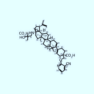 C=C(C)[C@@H]1CC[C@]2(NCC(C)(O)C(=O)O)CC[C@]3(C)[C@H](CC[C@@H]4[C@@]5(C)CC=C(C6=CC[C@](COc7ncccc7C#N)(C(=O)O)CC6)C(C)(C)[C@@H]5CC[C@]43C)[C@@H]12